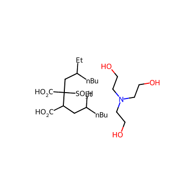 CCCCC(CC)CC(C(=O)O)C(CC(CC)CCCC)(C(=O)O)S(=O)(=O)O.OCCN(CCO)CCO